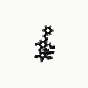 CN1C(=O)C(Cc2cc(CO)c(OCc3ccccc3)cc2F)[N+](C(=O)[O-])(C(C)(C)C)C1C(C)(C)C